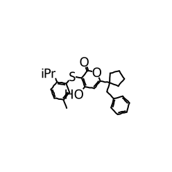 Cc1ccc(C(C)C)c(Sc2c(O)cc(C3(Cc4ccccc4)CCCC3)oc2=O)c1